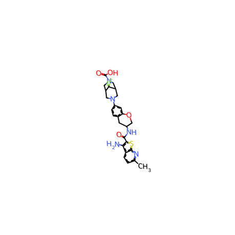 Cc1ccc2c(N)c(C(=O)NC3COc4cc(N5CC6CN(C(=O)O)CC(C5)C6(F)F)ccc4C3)sc2n1